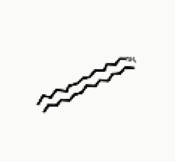 CCCCCCCCCCCCCCC.CCCCCCCCCCCCCCN